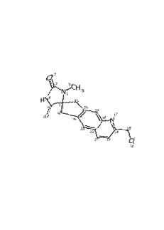 CN1C(=O)NC(=O)C12Cc1cc3ccc(CCl)nc3cc1C2